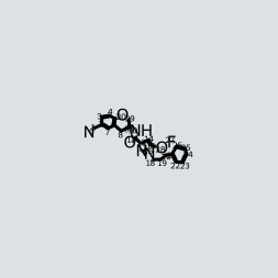 N#Cc1ccc2c(c1)C[C@@H](NC(=O)c1cc3n(n1)CCC(c1ccccc1F)O3)CO2